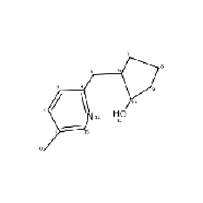 Cc1ccc(CC2CCCC2O)nc1